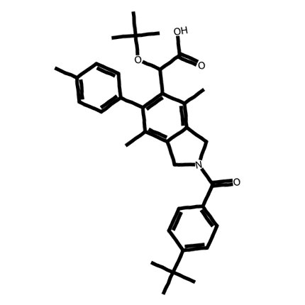 Cc1ccc(-c2c(C)c3c(c(C)c2C(OC(C)(C)C)C(=O)O)CN(C(=O)c2ccc(C(C)(C)C)cc2)C3)cc1